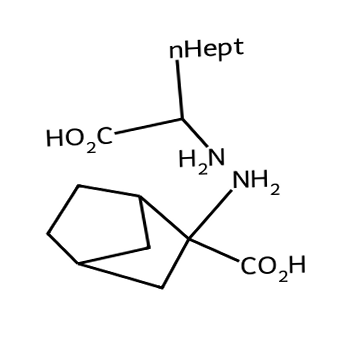 CCCCCCCC(N)C(=O)O.NC1(C(=O)O)CC2CCC1C2